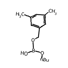 CCCCOB(O)OCc1cc(C)cc(C)c1